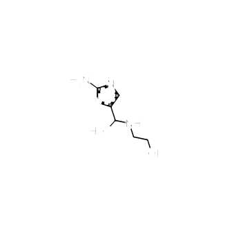 CC(NCCO)c1cnc(N)s1